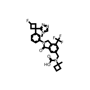 Cn1cnnc1C1(c2cccc(N3Cc4c(cc(CN(C(=O)O)C5(C)CCC5)cc4C(F)(F)F)C3=O)c2)CC(F)C1